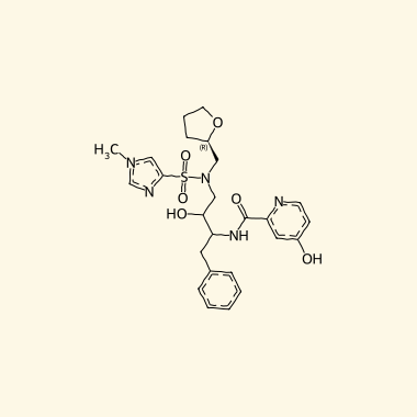 Cn1cnc(S(=O)(=O)N(CC(O)C(Cc2ccccc2)NC(=O)c2cc(O)ccn2)C[C@H]2CCCO2)c1